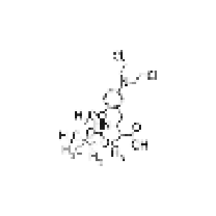 COc1ccc(N(CCCl)CCCl)cc1C[C@H](NC(=O)OC(C)(C)C)C(C)C(=O)O